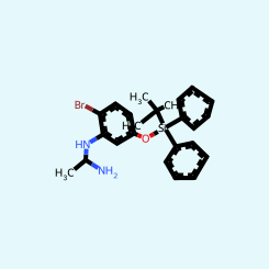 CC(N)Nc1cc(O[Si](c2ccccc2)(c2ccccc2)C(C)(C)C)ccc1Br